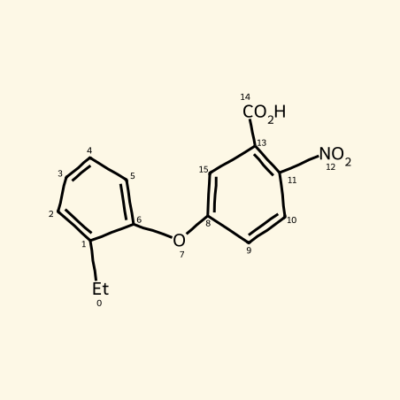 CCc1ccccc1Oc1ccc([N+](=O)[O-])c(C(=O)O)c1